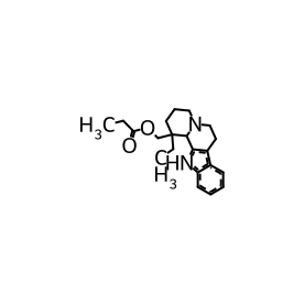 CCC(=O)OCC1(CC)CCCN2CCc3c([nH]c4ccccc34)C21